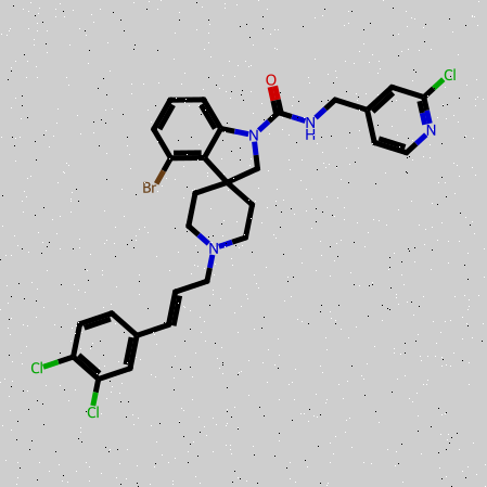 O=C(NCc1ccnc(Cl)c1)N1CC2(CCN(C/C=C/c3ccc(Cl)c(Cl)c3)CC2)c2c(Br)cccc21